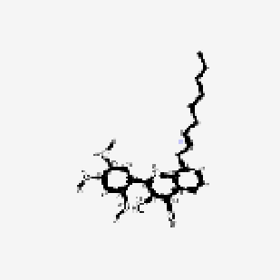 CCCCCC/C=C/Cc1cccc2c(=O)c(O)c(-c3cc(OC)c(OC)cc3OC)oc12